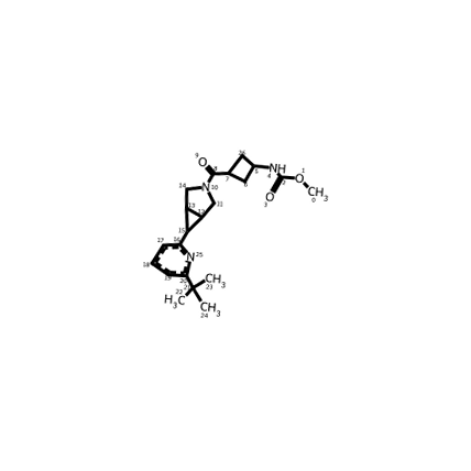 COC(=O)NC1CC(C(=O)N2CC3C(C2)C3c2cccc(C(C)(C)C)n2)C1